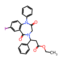 CCOC(=O)CC(c1ccccc1)N1CC(=O)N(c2ccccc2)c2ccc(I)cc2C1=O